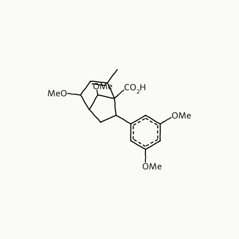 COc1cc(OC)cc(C2CC3C(OC)C=C(C)C2(C(=O)O)C3OC)c1